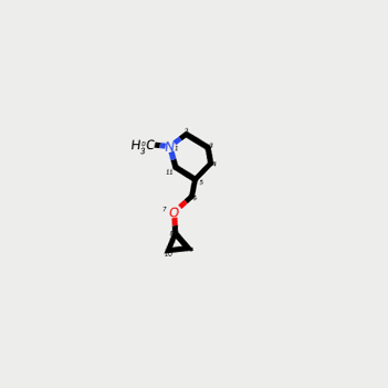 CN1CCCC(COC2CC2)C1